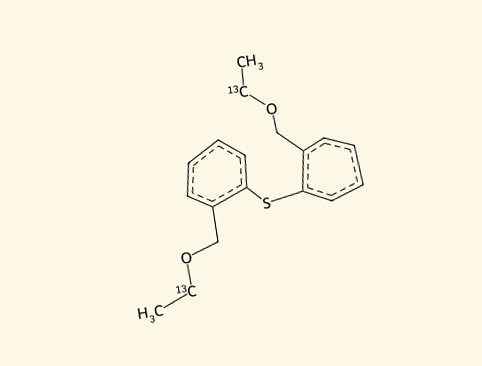 C[13CH2]OCc1ccccc1Sc1ccccc1CO[13CH2]C